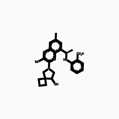 Cc1cc([C@@H](C)Nc2ccccc2C(=O)O)c2nc(N3CC(O)C4(CCC4)C3)c(C#N)nc2c1